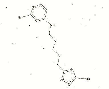 CC(C)(C)c1nc(CCCCCNc2ccnc(Br)c2)no1